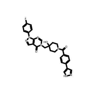 O=C(c1ccc(-c2cn[nH]c2)cc1)N1CCC(O)(Cn2cnc3c(cnn3-c3ccc(F)cc3)c2=O)CC1